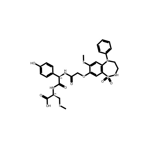 CSC[C@H](NC(=O)[C@H](NC(=O)COc1cc2c(cc1SC)N(c1ccccc1)CCNS2(=O)=O)c1ccc(O)cc1)C(=O)O